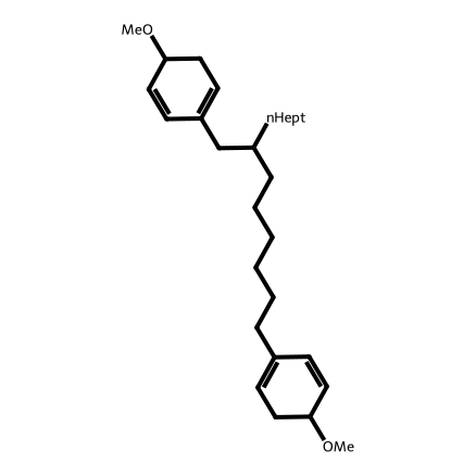 CCCCCCCC(CCCCCCC1=CCC(OC)C=C1)CC1=CCC(OC)C=C1